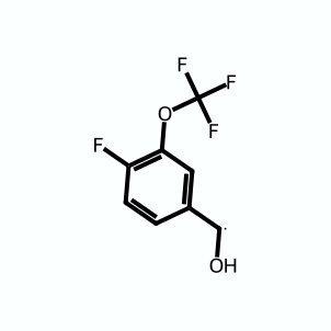 O[CH]c1ccc(F)c(OC(F)(F)F)c1